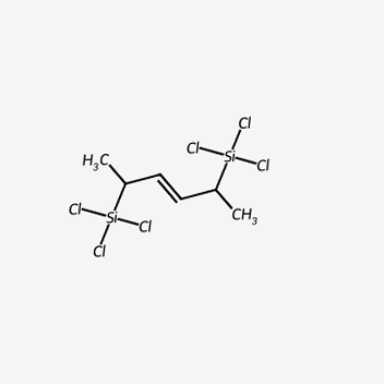 CC(/C=C/C(C)[Si](Cl)(Cl)Cl)[Si](Cl)(Cl)Cl